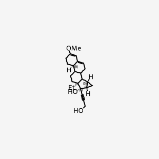 CC[C@]12CCC3C(CC=C4C=C(OC)CC[C@@H]43)C1[C@@H]1C[C@@H]1[C@@]2(O)C#CCO